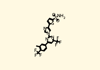 Cc1cc(-c2cc(C(F)(F)F)nc(-n3cnc(-c4ccc(S(N)(=O)=O)s4)c3)n2)ccc1C(F)(F)F